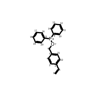 C=Cc1ccc(COP(c2ccccc2)c2ccccc2)cc1